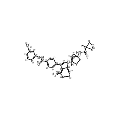 CC1(C(=O)NC23CC[PH](n4cc(-c5ccc(C(=O)Nc6cc(C(F)(F)F)ccn6)cc5)c5c(N)ncnc54)(CC2)C3)COC1